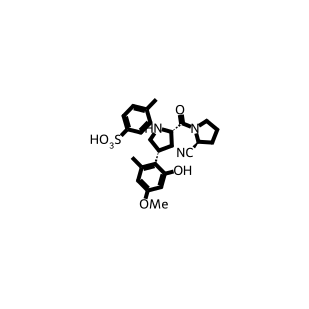 COc1cc(C)c([C@@H]2CN[C@H](C(=O)N3CCC[C@H]3C#N)C2)c(O)c1.Cc1ccc(S(=O)(=O)O)cc1